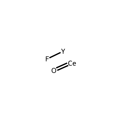 [F][Y].[O]=[Ce]